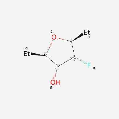 CC[C@@H]1O[C@H](CC)[C@@H](O)[C@H]1F